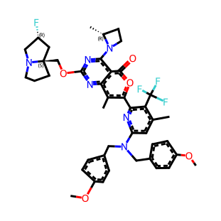 COc1ccc(CN(Cc2ccc(OC)cc2)c2cc(C)c(C(F)(F)F)c(-c3oc(=O)c4c(N5CC[C@H]5C)nc(OC[C@@]56CCCN5C[C@H](F)C6)nc4c3C)n2)cc1